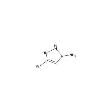 CC(C)C1=CN(N)NN1